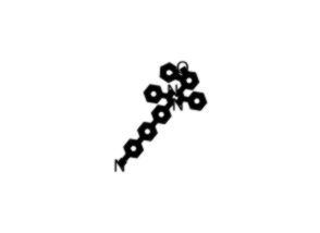 N#Cc1ccc(-c2ccc(-c3ccc(-c4nc(-c5ccccc5)c(-c5cccc6oc7ccccc7c56)nc4-c4ccccc4)cc3)cc2)cc1